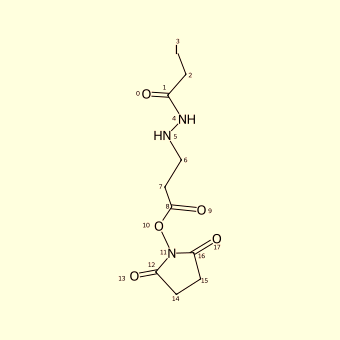 O=C(CI)NNCCC(=O)ON1C(=O)CCC1=O